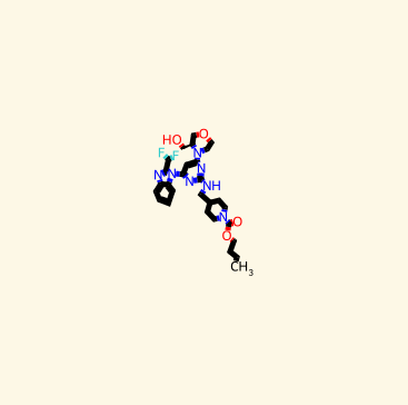 CCCCOC(=O)N1CCC(CNc2nc(N3CCOC[C@@H]3CO)cc(-n3c(C(F)F)nc4ccccc43)n2)CC1